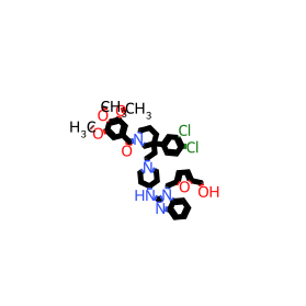 COc1cc(C(=O)N2CCCC(CCN3CCC(Nc4nc5ccccc5n4Cc4ccc(CO)o4)CC3)(c3ccc(Cl)c(Cl)c3)C2)cc(OC)c1OC